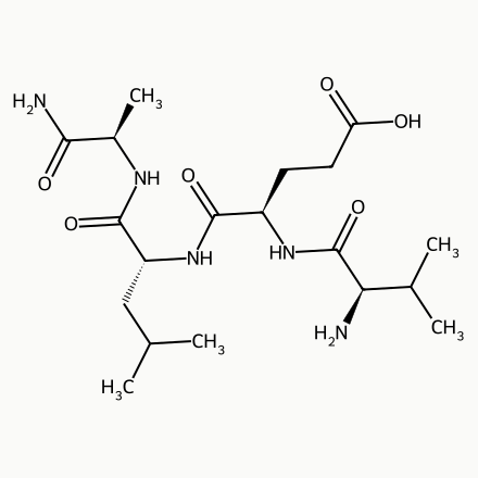 CC(C)C[C@@H](NC(=O)[C@@H](CCC(=O)O)NC(=O)[C@H](N)C(C)C)C(=O)N[C@H](C)C(N)=O